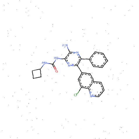 Nc1nc(-c2ccccc2)c(-c2cc(Cl)c3ncccc3c2)nc1NC(=O)NC1CCC1